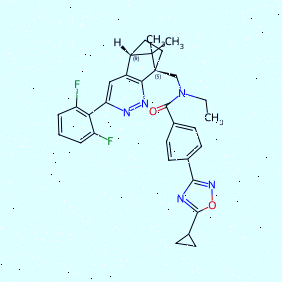 CCN(C[C@@]12CC[C@@H](c3cc(-c4c(F)cccc4F)nnc31)C2(C)C)C(=O)c1ccc(-c2noc(C3CC3)n2)cc1